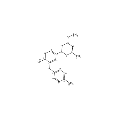 BCC1CC(C)CC(C2=CCC(Cl)C(Cc3ccc(C)cc3)=C2)C1